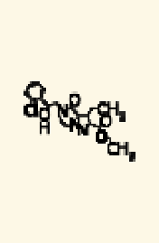 CCOC(=O)c1nn2c(c1CC)C(=O)N(CC(O)c1ccccc1Cl)CC2